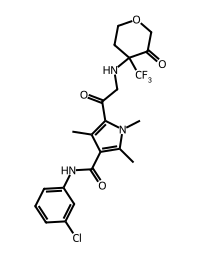 Cc1c(C(=O)Nc2cccc(Cl)c2)c(C)n(C)c1C(=O)CNC1(C(F)(F)F)CCOCC1=O